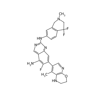 Cc1c(-c2cc3nc(Nc4ccc5c(c4)CN(C)CC5(F)F)ncc3c(N)c2F)cnc2c1NCCO2